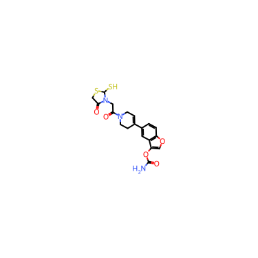 NC(=O)Oc1coc2ccc(C3=CCN(C(=O)CN4C(=O)CSC4S)CC3)cc12